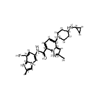 Cc1cn2cc(NC(=O)c3ccc(N4CCC(NC5CC5)CC4)c4cc(C)nn34)cc(F)c2n1